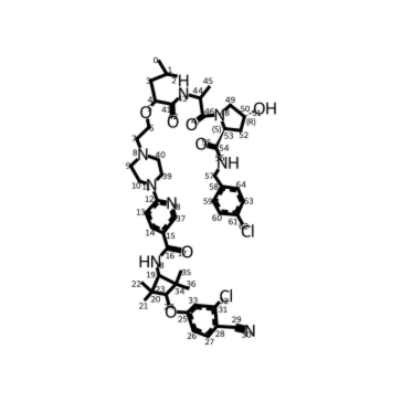 CC(C)CC(OCCN1CCN(c2ccc(C(=O)NC3C(C)(C)C(Oc4ccc(C#N)c(Cl)c4)C3(C)C)cn2)CC1)C(=O)NC(C)C(=O)N1C[C@H](O)C[C@H]1C(=O)NCc1ccc(Cl)cc1